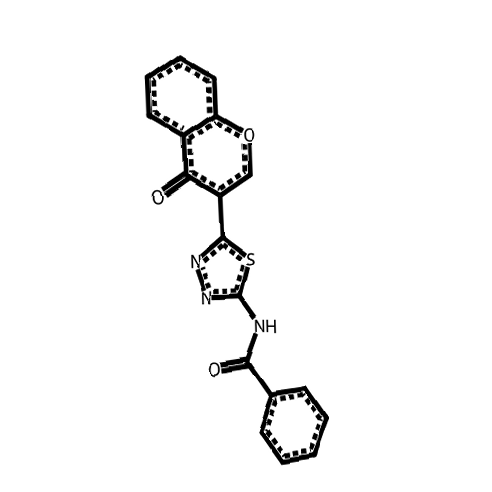 O=C(Nc1nnc(-c2coc3ccccc3c2=O)s1)c1ccccc1